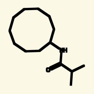 CC(C)C(=O)NC1CCCCCCCCC1